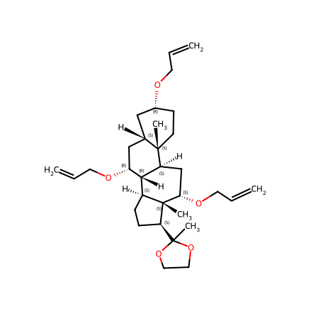 C=CCO[C@@H]1CC[C@@]2(C)[C@@H](C1)C[C@@H](OCC=C)[C@@H]1[C@@H]2C[C@H](OCC=C)[C@]2(C)[C@@H](C3(C)OCCO3)CC[C@@H]12